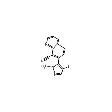 Cn1ncc(Br)c1-c1ccc2cccnc2c1C#N